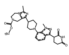 Cc1nc(C2CCN(c3cccc4c(C5CCC(=O)NC5=O)nn(C)c34)CC2)c2n1CCN(C(=O)OC(C)(C)C)C2